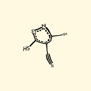 N#Cc1c(S)nsc1S